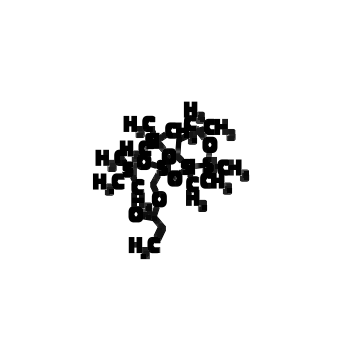 C=CC(=O)OC[Si](O[Si](C)(C)C)(O[Si](C)(C)C)O[Si]1(C)CCC(C)(C)O[Si]1(C)C